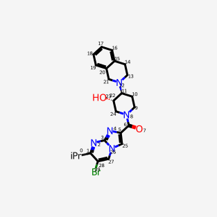 CC(C)c1nc2nc(C(=O)N3CC[C@H](N4CCc5ccccc5C4)[C@@H](O)C3)cn2cc1Br